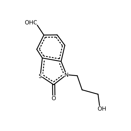 O=Cc1ccc2c(c1)sc(=O)n2CCCO